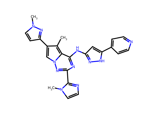 Cc1c(-c2ccn(C)n2)cn2nc(-c3nccn3C)nc(Nc3cc(-c4ccncc4)[nH]n3)c12